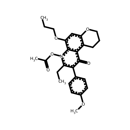 CCCOc1cc2c(c3c(=O)c(-c4ccc(OC)cc4)c(CC)n(OC(C)=O)c13)CCCO2